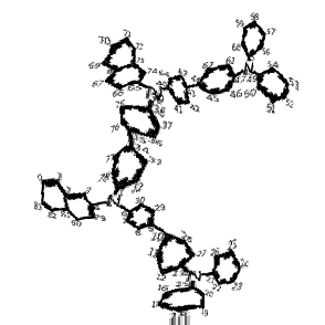 C1=CC2=CC(N(c3ccc(-c4ccc(N(c5ccccc5)c5ccccc5)cc4)cc3)c3ccc(-c4ccc(N(c5ccc(-c6ccc(N(c7ccccc7)c7ccccc7)cc6)cc5)c5ccc6ccccc6c5)cc4)cc3)=CCC2C=C1